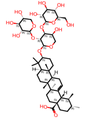 C[C@H]1[C@H](C)CC[C@]2(C(=O)O)CC[C@]3(C)C(=CC[C@@H]4[C@@]5(C)CC[C@H](O[C@@H]6OC[C@H](O)[C@H](O[C@@H]7O[C@H](CO)[C@@H](O)[C@H](O)[C@H]7O)[C@H]6O[C@@H]6OC[C@@H](O)[C@H](O)[C@H]6O)C(C)(C)[C@@H]5CC[C@]43C)[C@H]12